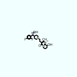 Cc1nc2n(c(=O)c1CCN1CCC(/C(=N\O)c3ccc(F)cc3F)CC1)CCCC2O